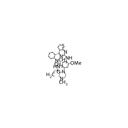 C=CC(=O)Nc1cc(Nc2nc(-c3ccccc3N(C)C)c3ccsc3n2)c(OC)cc1N1CCN(C)CC1